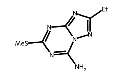 CCc1nc2nc(SC)nc(N)n2n1